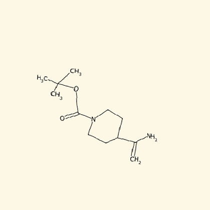 C=C(N)C1CCN(C(=O)OC(C)(C)C)CC1